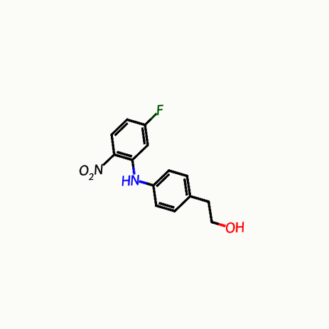 O=[N+]([O-])c1ccc(F)cc1Nc1ccc(CCO)cc1